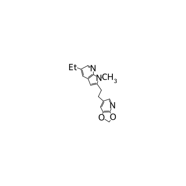 CCc1cnc2c(c1)cc(CCc1cnc3c(c1)OCO3)n2C